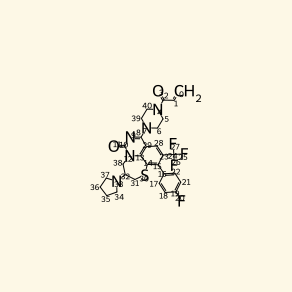 C=CC(=O)N1CCN(c2nc(=O)n3c4c(c(-c5ccc(F)cc5)c(C(F)(F)F)cc24)SCC(N2CCCC2)C3)CC1